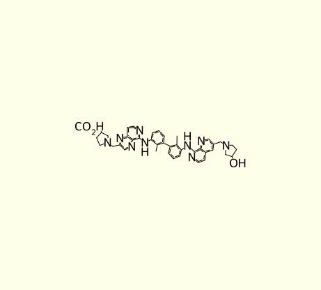 Cc1c(Nc2nccc3cc(CN4CCC(O)C4)cnc23)cccc1-c1cccc(Nc2nccc3nc(CN4CCC(C(=O)O)C4)cnc23)c1C